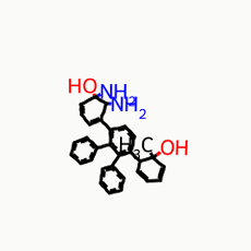 CC1(O)C=CC=CC1c1ccc(C2=CC=CC(N)(O)C2N)c(-c2ccccc2)c1-c1ccccc1